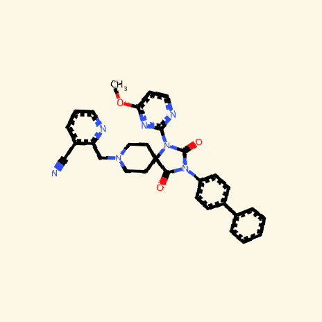 COc1ccnc(N2C(=O)N(c3ccc(-c4ccccc4)cc3)C(=O)C23CCN(Cc2ncccc2C#N)CC3)n1